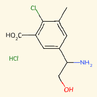 Cc1cc(C(N)CO)cc(C(=O)O)c1Cl.Cl